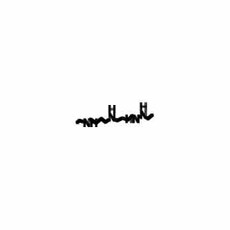 CCNCCCCNCCCCNNCC